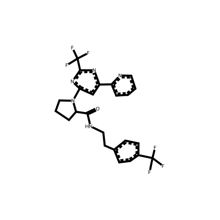 O=C(NCCc1ccc(C(F)(F)F)cc1)C1CCCN1c1cc(-c2ccccn2)nc(C(F)(F)F)n1